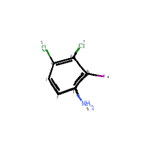 Nc1ccc(Cl)c(Cl)c1I